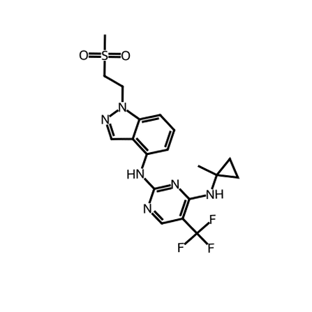 CC1(Nc2nc(Nc3cccc4c3cnn4CCS(C)(=O)=O)ncc2C(F)(F)F)CC1